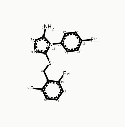 Nc1nnc(SCc2c(F)cccc2F)n1-c1ccc(F)cc1